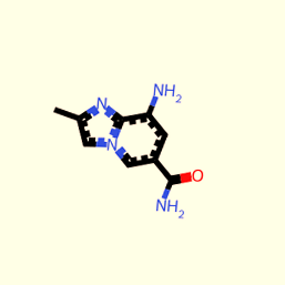 Cc1cn2cc(C(N)=O)cc(N)c2n1